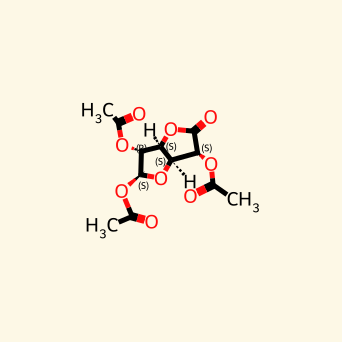 CC(=O)O[C@@H]1O[C@H]2[C@H](OC(=O)[C@H]2OC(C)=O)[C@H]1OC(C)=O